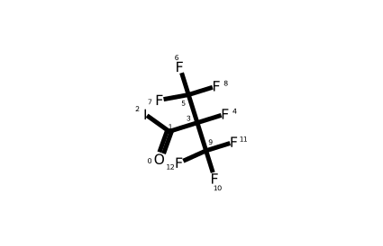 O=C(I)C(F)(C(F)(F)F)C(F)(F)F